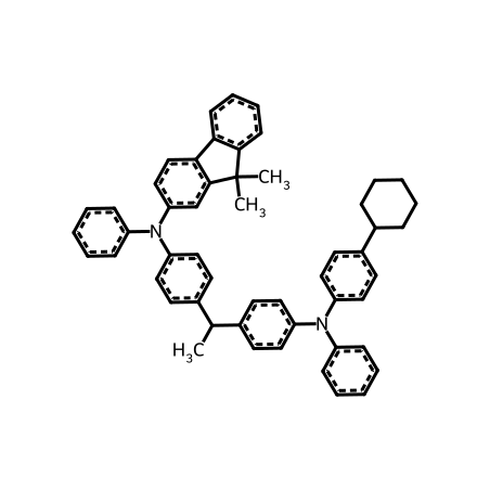 CC(c1ccc(N(c2ccccc2)c2ccc(C3CCCCC3)cc2)cc1)c1ccc(N(c2ccccc2)c2ccc3c(c2)C(C)(C)c2ccccc2-3)cc1